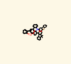 CC1(C)c2ccccc2-c2c(-c3ccccc3N(c3ccc4sc5ccccc5c4c3)c3ccccc3-c3ccc4oc5ccccc5c4c3)cccc21